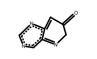 O=C1C=c2ncncc2=NC1